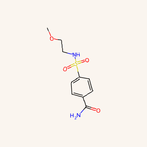 COCCNS(=O)(=O)c1ccc(C(N)=O)cc1